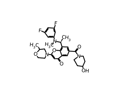 CC1CN(c2cc(=O)c3cc(C(=O)N4CCC(O)CC4)cc([C@H](C)N(C)c4cc(F)cc(F)c4)c3o2)CCO1